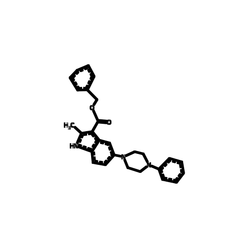 Cc1[nH]c2ccc(N3CCN(c4ccccc4)CC3)cc2c1C(=O)OCc1ccccc1